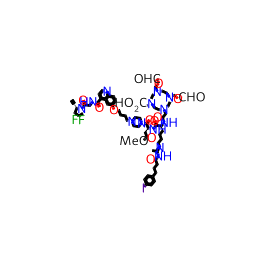 C#C[C@H]1CC(F)(F)CN1C(=O)CNC(=O)c1ccnc2ccc(OCCCCN3CCN(C(=O)[C@H](CC(=O)OC)NC(=O)[C@H](CCCC/N=C(\C)NC(=O)CCCc4ccc(I)cc4)NC(=O)CN4CCN(COC=O)CCN(COC=O)CCN(CC(=O)O)CC4)CC3)cc12